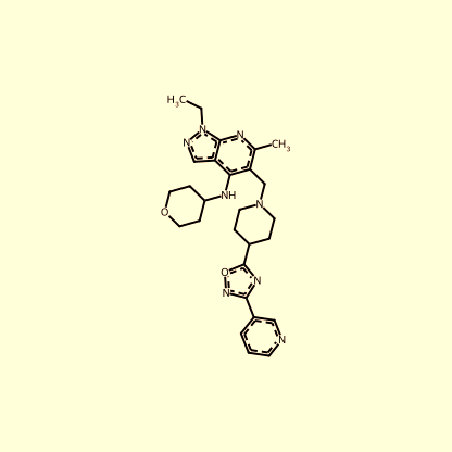 CCn1ncc2c(NC3CCOCC3)c(CN3CCC(c4nc(-c5cccnc5)no4)CC3)c(C)nc21